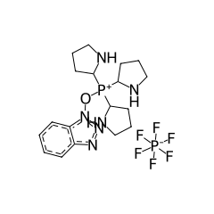 F[P-](F)(F)(F)(F)F.c1ccc2c(c1)nnn2O[P+](C1CCCN1)(C1CCCN1)C1CCCN1